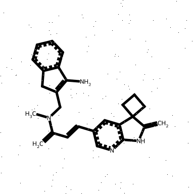 C=C(/C=C/c1cnc2c(c1)C1(CCC1)C(=C)N2)N(C)CC1=C(N)c2ccccc2C1